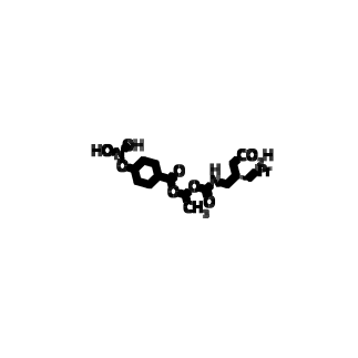 CC(C)C[C@H](CNC(=O)OC(C)OC(=O)C1CCC(ON(O)O)CC1)CC(=O)O